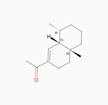 CC(=O)C1=C[C@@H]2[C@H](C)CCC[C@]2(C)CC1